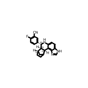 N#Cc1cc([C@@H]2Nc3ccc4[nH]cnc4c3[C@H]3C4CC[C@@H](C4)[C@@H]23)ccc1F